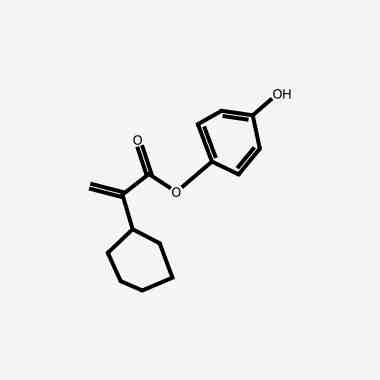 C=C(C(=O)Oc1ccc(O)cc1)C1CCCCC1